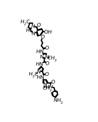 C=C1C[C@H]2C=Nc3cc(OCCCC(=O)Nc4cn(C)c(C(=O)Nc5cc(C(=O)Nc6cc(C(=O)NCc7ccc(N)cc7)n(C)c6)n(C)c5)n4)c(O)cc3C(=O)N2C1